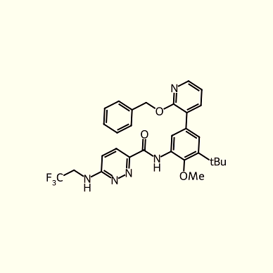 COc1c(NC(=O)c2ccc(NCC(F)(F)F)nn2)cc(-c2cccnc2OCc2ccccc2)cc1C(C)(C)C